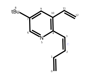 C=C/C=C\c1ncc(C(C)(C)C)cc1C=C